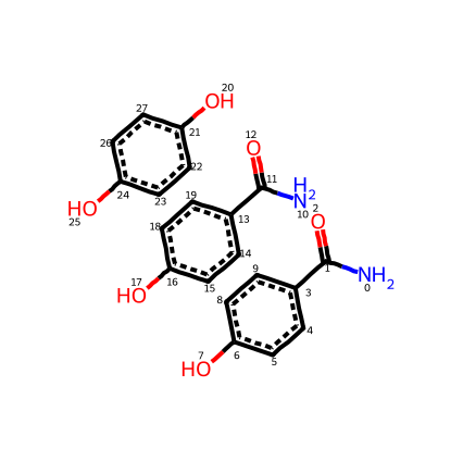 NC(=O)c1ccc(O)cc1.NC(=O)c1ccc(O)cc1.Oc1ccc(O)cc1